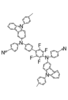 Cc1ccc(-n2c3ccccc3c3cc(N(c4ccc(C#N)cc4)c4ccc(-c5c(F)c(F)c(N(c6ccc(C#N)cc6)c6ccc7c(c6)c6ccccc6n7-c6ccc(C)cc6)c(F)c5F)cc4)ccc32)cc1